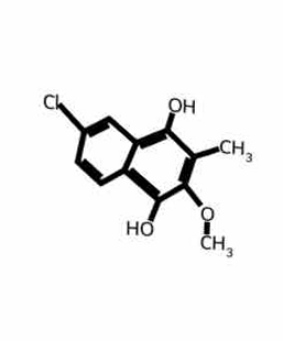 COc1c(C)c(O)c2cc(Cl)ccc2c1O